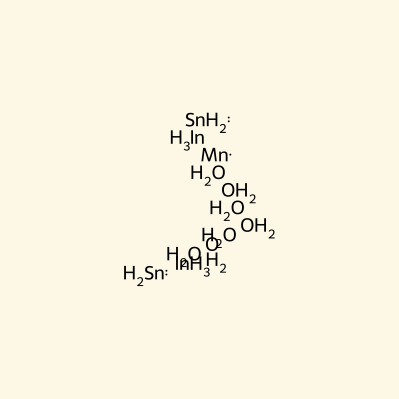 O.O.O.O.O.O.O.[InH3].[InH3].[Mn].[SnH2].[SnH2]